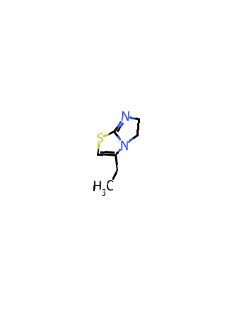 CCC1=CSC2=NCCN12